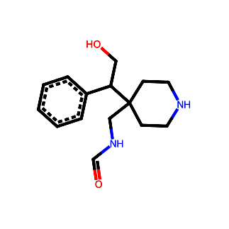 O=CNCC1(C(CO)c2ccccc2)CCNCC1